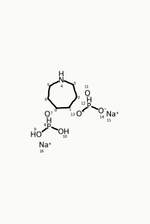 C1CCCNCC1.O=[PH](O)O.O=[PH]([O-])[O-].[Na+].[Na+]